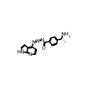 C[C@@H](N)c1ccc(C(=O)N=[N+]=Nc2ccnc3[nH]ccc23)cc1